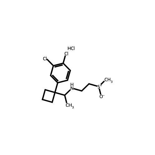 CC(NCC[S+](C)[O-])C1(c2ccc(Cl)c(Cl)c2)CCC1.Cl